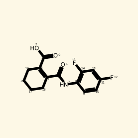 O=C(O)C1=C(C(=O)Nc2ccc(F)cc2F)CCCC1